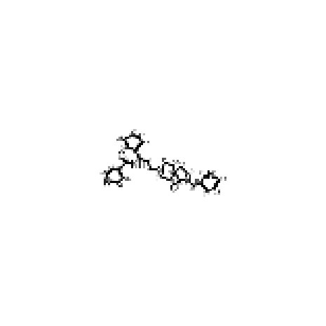 O=C(NC(CCN1CCC2(CC1)CCN(Cc1cccnc1)C2=O)c1ccccc1)c1ccncc1